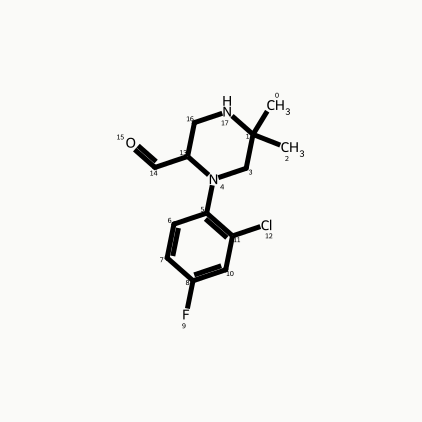 CC1(C)CN(c2ccc(F)cc2Cl)C(C=O)CN1